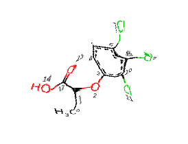 CC(Oc1ccc(Cl)c(Cl)c1Cl)C(=O)O